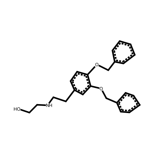 OCCNCCc1ccc(OCc2ccccc2)c(OCc2ccccc2)c1